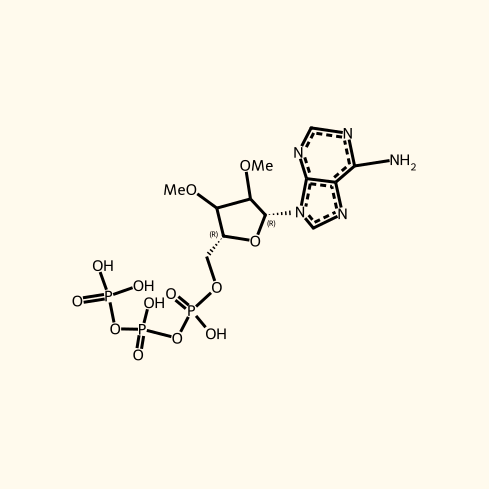 COC1C(OC)[C@@H](COP(=O)(O)OP(=O)(O)OP(=O)(O)O)O[C@H]1n1cnc2c(N)ncnc21